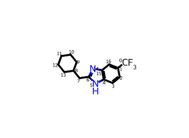 FC(F)(F)c1ccc2[nH]c(CC3CCCCC3)nc2c1